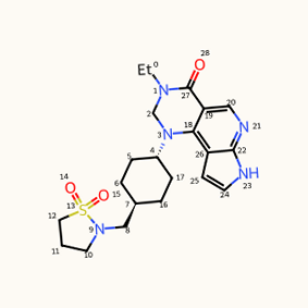 CCN1CN([C@H]2CC[C@H](CN3CCCS3(=O)=O)CC2)c2c(cnc3[nH]ccc23)C1=O